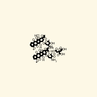 COc1cccc2c1C(=O)c1c(O)c3c(c(O)c1C2=O)C[C@@](O)(C(=O)CO)C[C@@H]3O[C@H]1C[C@H](N)[C@H](O)[C@H](C)O1.COc1cccc2c1C(=O)c1c(O)c3c(c(O)c1C2=O)C[C@@](O)(C(C)=O)C[C@@H]3O[C@H]1C[C@H](N)[C@H](O)[C@H](C)O1.Cl.O=C(O)CC(O)(CC(=O)O)C(=O)O